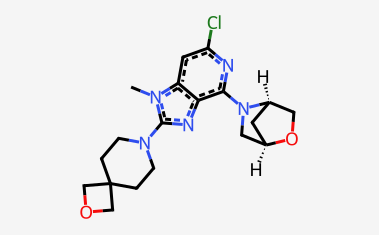 Cn1c(N2CCC3(CC2)COC3)nc2c(N3C[C@H]4C[C@@H]3CO4)nc(Cl)cc21